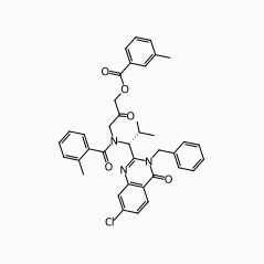 Cc1cccc(C(=O)OCC(=O)CN(C(=O)c2ccccc2C)[C@@H](c2nc3cc(Cl)ccc3c(=O)n2Cc2ccccc2)C(C)C)c1